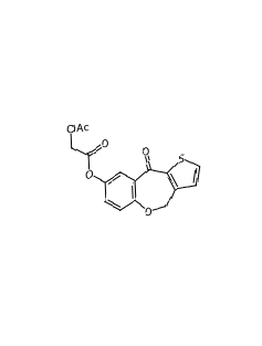 CC(=O)OCC(=O)Oc1ccc2c(c1)C(=O)c1sccc1CO2